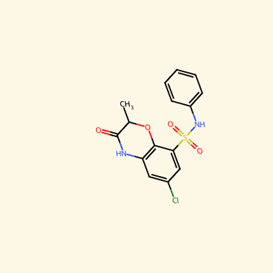 CC1Oc2c(cc(Cl)cc2S(=O)(=O)Nc2ccccc2)NC1=O